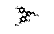 Cl.NCc1cc(-c2ccc(Br)cc2)c(-c2ccc(Cl)cc2Cl)s1